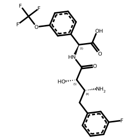 N[C@H](Cc1cccc(F)c1)[C@H](O)C(=O)N[C@H](C(=O)O)c1cccc(OC(F)(F)F)c1